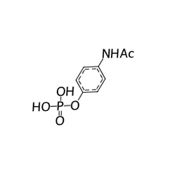 CC(=O)Nc1ccc(OP(=O)(O)O)cc1